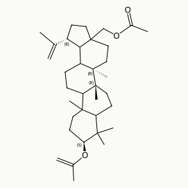 C=C(C)O[C@H]1CCC2(C)C(CC[C@]3(C)C2CCC2C4[C@H](C(=C)C)CCC4(COC(C)=O)CC[C@]23C)C1(C)C